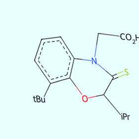 CC(C)C1Oc2c(cccc2C(C)(C)C)N(CC(=O)O)C1=S